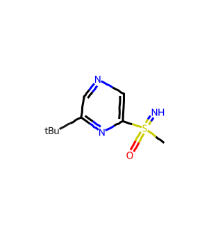 CC(C)(C)c1cncc(S(C)(=N)=O)n1